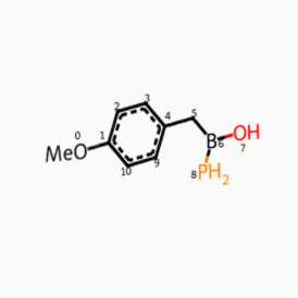 COc1ccc(CB(O)P)cc1